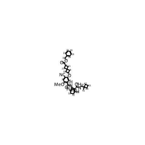 COc1cc(C#N)c(OC2CC3(C2)CC(C(=O)OCc2ccccc2)C3)cc1C(=O)N[C@@H]1[C@H]2CC[C@H](C2)[C@@H]1C(=O)NCC1(C)CCC1